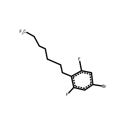 Fc1cc(Br)cc(F)c1CCCCCCC(F)(F)F